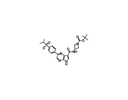 CC(C)S(=O)(=O)c1ccc(-c2cnc3[nH]cc(C(=O)NC4CN(C(=O)OC(C)(C)C)C4)c3n2)cc1